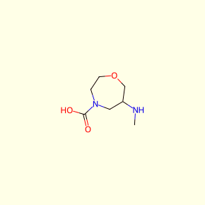 CNC1COCCN(C(=O)O)C1